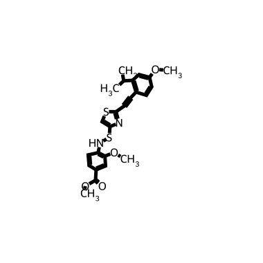 COC(=O)c1ccc(NSc2csc(C#Cc3ccc(OC)cc3C(C)C)n2)c(OC)c1